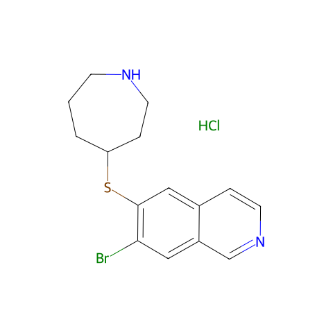 Brc1cc2cnccc2cc1SC1CCCNCC1.Cl